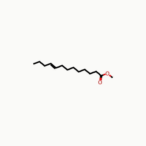 CCC/C=C/CCCCCCCC(=O)OC